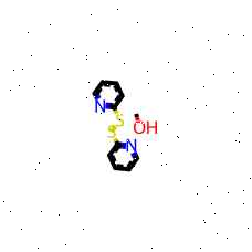 CO.c1ccc(SSc2ccccn2)nc1